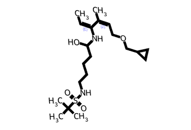 C/C=C(NC(O)CCCCNS(=O)(=O)C(C)(C)C)\C(C)=C/COCC1CC1